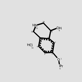 CC(C)Oc1ccc2c(c1)C(O)CNC2.Cl